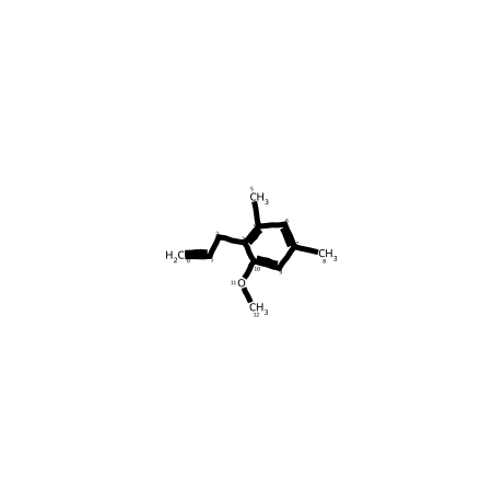 C=CCc1c(C)cc(C)cc1OC